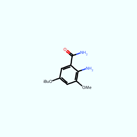 COc1cc(OCC(C)C)cc(C(N)=O)c1N